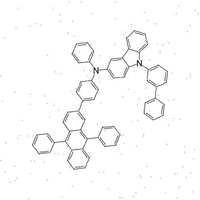 c1ccc(-c2cccc(-n3c4ccccc4c4cc(N(c5ccccc5)c5ccc(-c6ccc7c(-c8ccccc8)c8ccccc8c(-c8ccccc8)c7c6)cc5)ccc43)c2)cc1